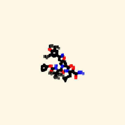 COc1c(C)cc(C2=NO[C@]3(C2)C[C@@H](C(=O)NC(CC2CC2)C(=O)C(N)=O)N(C(=O)[C@@H](NC(=O)OC2CCCC2)C(C)(C)C)C3)cc1C